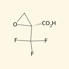 O=C(O)[C@@]1(C(F)(F)F)CO1